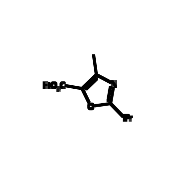 CCOC(=O)c1oc(C(C)C)nc1C